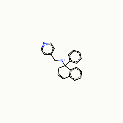 C1=Cc2ccccc2C(NCc2ccncc2)(c2ccccc2)C1